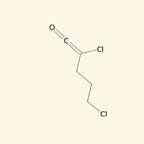 O=C=C(Cl)CCCCl